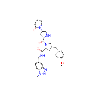 COc1ccc(CC2CC(C(=O)NCc3ccc4c(c3)nnn4C)N(C(=O)C3CC(n4ccccc4=O)CN3)C2)cc1